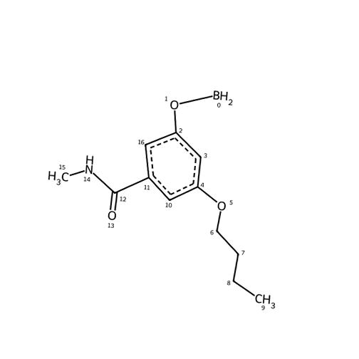 BOc1cc(OCCCC)cc(C(=O)NC)c1